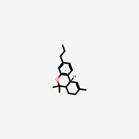 CCCc1ccc2c(c1)OC(C)(C)C1CCC(C)=C[C@@H]21